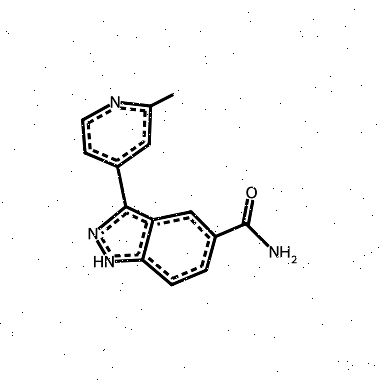 Cc1cc(-c2n[nH]c3ccc(C(N)=O)cc23)ccn1